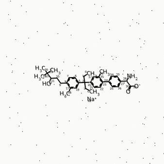 CCC(CC)(c1ccc(CCC(O)C(C)(C)C)c(C)c1)c1ccc(-c2ccc(C(N)C(=O)[O-])cc2)c(C)c1.[Na+]